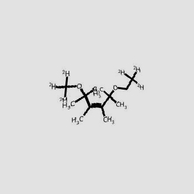 [2H]C([2H])([2H])COC(C)(C)/C(C)=C(/C)C(C)(C)OC([2H])([2H])[2H]